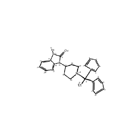 CCC(c1ccccc1)(c1ccccc1)N1CCC(n2c(=O)n(C(C)=O)c3ccccc32)CC1